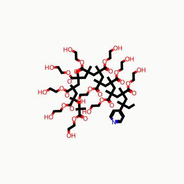 CCC(C)(CC(C)(CC(C)(CC(C)(CC(C)(CC(C)(CC(C)(CC(C)(CC(C)(CC(C)(CC(C)(C)C(=O)OCCO)C(=O)OCCO)C(=O)OCCO)C(=O)OCCO)C(=O)OCCO)C(=O)OCCO)C(=O)OCCO)C(=O)OCCO)C(=O)OCCO)C(=O)OCCO)c1ccncc1